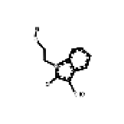 CCOCCn1c(Cl)c(C=O)c2ccccc21